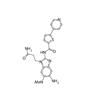 CNc1cc2c(cc1N)nc(NC(=O)c1ccc(-c3ccncc3)s1)n2CCC(N)=O